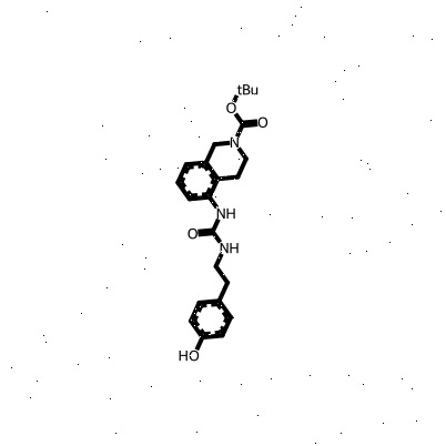 CC(C)(C)OC(=O)N1CCc2c(cccc2NC(=O)NCCc2ccc(O)cc2)C1